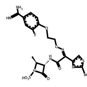 C[C@H]1[C@H](NC(=O)C(=NOCCOc2ccc(C(=N)N)cc2F)c2csc(N)n2)C(=O)N1S(=O)(=O)O